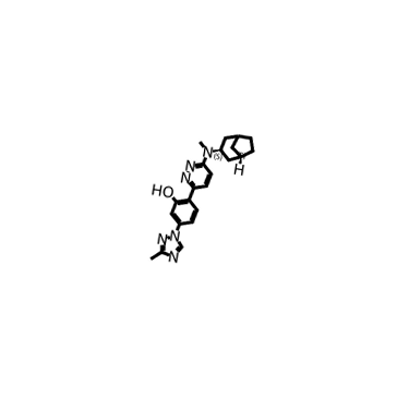 Cc1ncn(-c2ccc(-c3ccc(N(C)[C@H]4CC5CC[C@@H](C5)C4)nn3)c(O)c2)n1